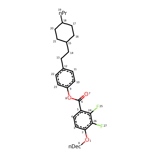 CCCCCCCCCCOc1ccc(C(=O)Oc2ccc(CCC3CCC(CCC)CC3)cc2)c(F)c1F